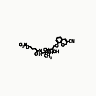 CC(C)(CNC(=O)CCCO[N+](=O)[O-])NCC(O)COc1cccc2c1OCC(C#N)=C2